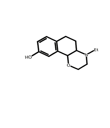 CCN1CCOC2c3cc(O)ccc3CCC21